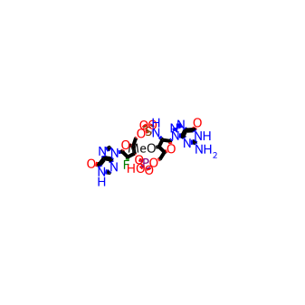 COC1C2COP(=O)(O)OC3C(COS(=O)(=O)NC1C(n1nnc4c(=O)[nH]c(N)nc41)O2)OC(n1cnc2c(=O)[nH]cnc21)C3F